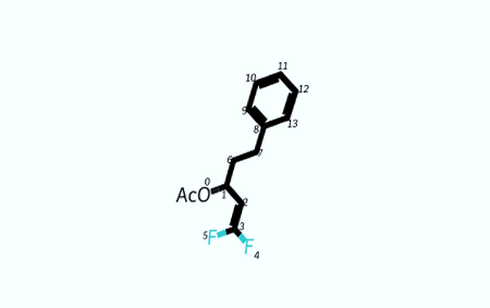 CC(=O)OC(C=C(F)F)CCc1ccccc1